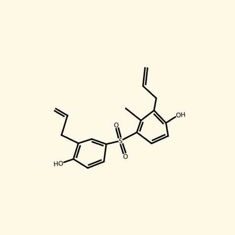 C=CCc1cc(S(=O)(=O)c2ccc(O)c(CC=C)c2C)ccc1O